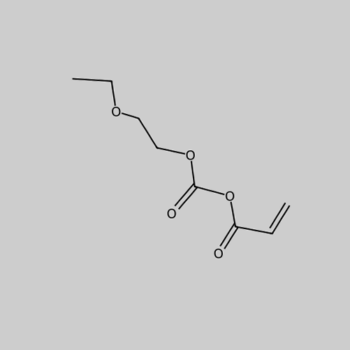 C=CC(=O)OC(=O)OCCOCC